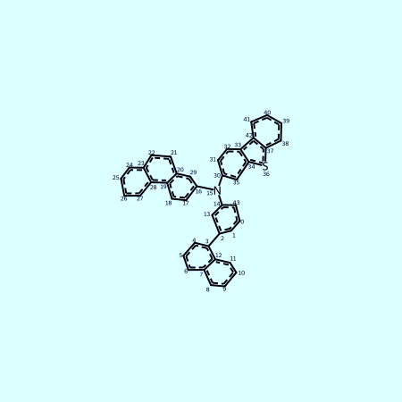 c1cc(-c2cccc3ccccc23)cc(N(c2ccc3c(ccc4ccccc43)c2)c2ccc3c(c2)sc2ccccc23)c1